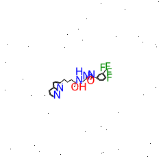 OC(CCCc1ccc2cccnc2n1)NCc1nnc(-c2ccc(F)c(C(F)(F)F)c2)o1